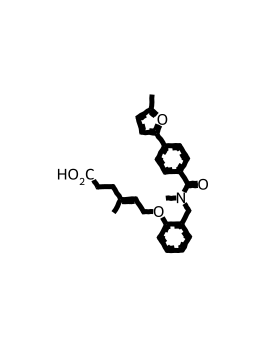 C/C(=C\COc1ccccc1CN(C)C(=O)c1ccc(-c2ccc(C)o2)cc1)CCC(=O)O